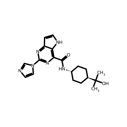 CC(C)(O)[C@H]1CC[C@H](NC(=O)c2nc(-n3ccnc3)nc3cc[nH]c23)CC1